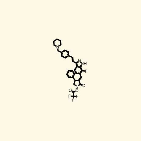 O=C1/C(=C/c2ccc3c(/C=C/c4ccc(CN5CCCCC5)cc4)n[nH]c3c2F)C(c2ccccc2)CN1OC(=O)C(F)(F)F